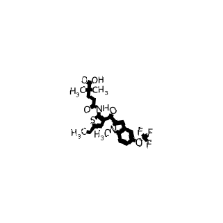 CCc1cc(C(=O)c2cc3cc(OC(F)(F)F)ccc3n2C)c(NC(=O)CCC(C)(C)C(=O)O)s1